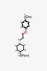 CCCCCCCCCCc1ccc(OCCC[C@H]2CC[C@H](CCCCC)CC2)cc1